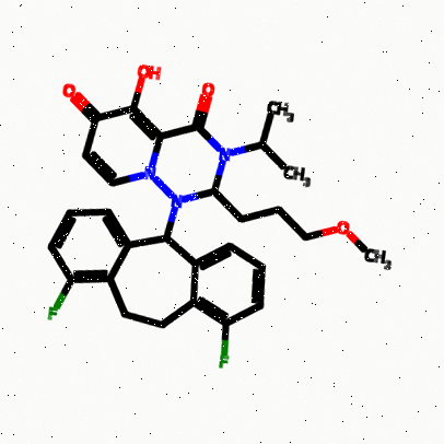 COCCCC1N(C(C)C)C(=O)c2c(O)c(=O)ccn2N1C1c2cccc(F)c2CCc2c(F)cccc21